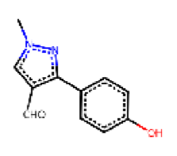 Cn1cc(C=O)c(-c2ccc(O)cc2)n1